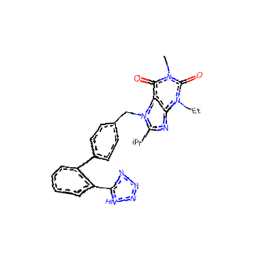 CCn1c(=O)n(C)c(=O)c2c1nc(C(C)C)n2Cc1ccc(-c2ccccc2-c2nnn[nH]2)cc1